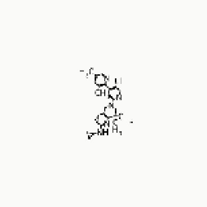 Cc1cnc(-c2cc(N3Cc4cnc(NC5CC5)nc4C(C)(C)C3)ncc2Cl)c(C)c1